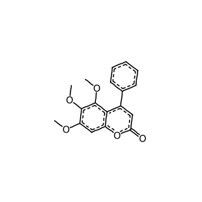 COc1cc2oc(=O)cc(-c3ccccc3)c2c(OC)c1OC